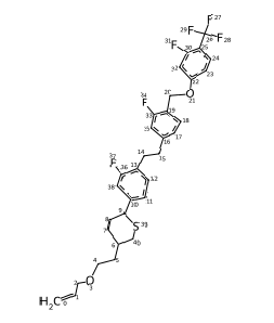 C=CCOCCC1CCC(c2ccc(CCc3ccc(COc4ccc(C(F)(F)F)c(F)c4)c(F)c3)c(F)c2)SC1